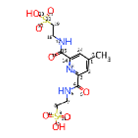 Cc1cc(C(=O)NCCS(=O)(=O)O)nc(C(=O)NCCS(=O)(=O)O)c1